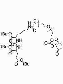 CC(C)(CCOC(C)(C)CCOC(=O)ON1C(=O)CCC1=O)NC(=O)NCCCCC(NC(=O)NC(CCC(=O)OC(C)(C)C)C(=O)OC(C)(C)C)C(=O)OC(C)(C)C